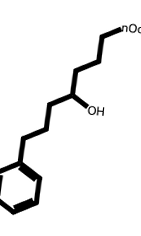 CCCCCCCCCCCC(O)CCCc1ccccc1